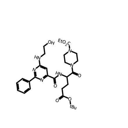 CCOC(=O)N1CCN(C(=O)C(CCC(=O)OC(C)(C)C)NC(=O)c2cc(NCCO)nc(-c3ccccc3)n2)CC1